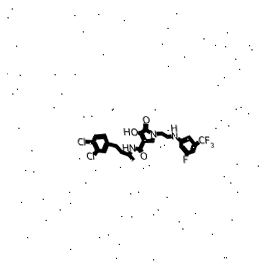 CC(CCc1ccc(Cl)c(Cl)c1)NC(=O)C1=C(O)C(=O)N(CCNc2cc(F)cc(C(F)(F)F)c2)C1